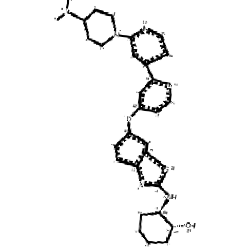 CN(C)C1CCN(c2cc(-c3cc(Oc4ccc5nc(N[C@@H]6CCCC[C@H]6O)sc5c4)ccn3)ccn2)CC1